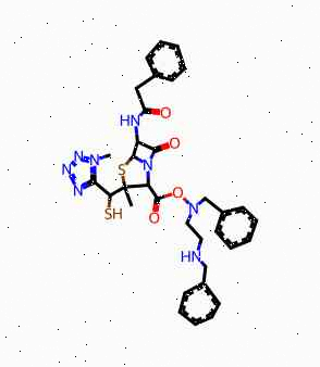 Cn1nnnc1C(S)C1(C)SC2C(NC(=O)Cc3ccccc3)C(=O)N2C1C(=O)ON(CCNCc1ccccc1)Cc1ccccc1